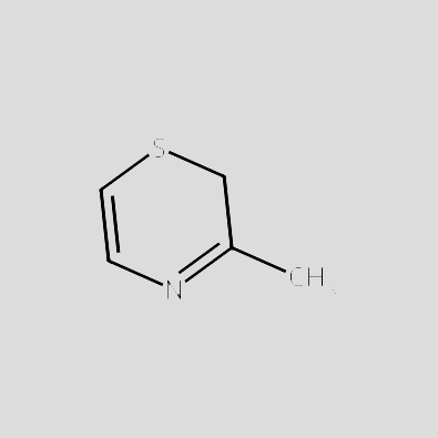 CC1=NC=CSC1